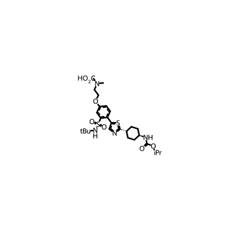 CC(C)OC(=O)N[C@H]1CC[C@H](c2ncc(-c3ccc(OCCN(C)C(=O)O)cc3S(=O)(=O)NC(C)(C)C)s2)CC1